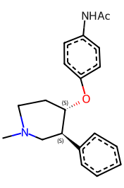 CC(=O)Nc1ccc(O[C@H]2CCN(C)C[C@@H]2c2ccccc2)cc1